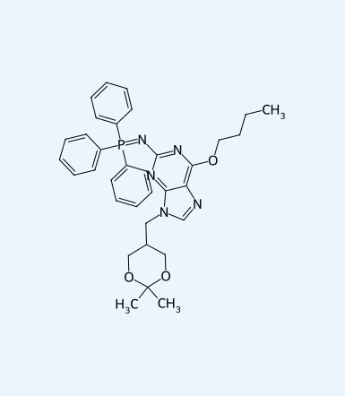 CCCCOc1nc(N=P(c2ccccc2)(c2ccccc2)c2ccccc2)nc2c1ncn2CC1COC(C)(C)OC1